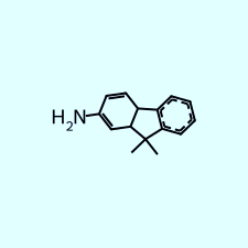 CC1(C)c2ccccc2C2C=CC(N)=CC21